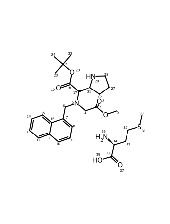 COC(=O)CN(Cc1cccc2ccccc12)C(C(=O)OC(C)(C)C)[C@@H]1CCCN1.CSCC[C@H](N)C(=O)O